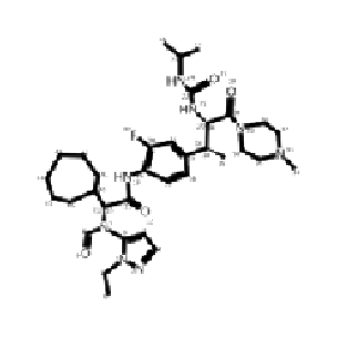 CCn1nccc1N(C=O)[C@H](C(=O)Nc1ccc([C@H](C)[C@@H](NC(=O)NC(C)C)C(=O)N2CCN(C)CC2)cc1F)C1CCCCCC1